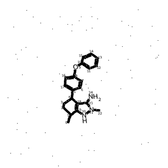 CC1CCC(c2ccc(Oc3ccccc3)cc2)C2=C1NN(C)C2N